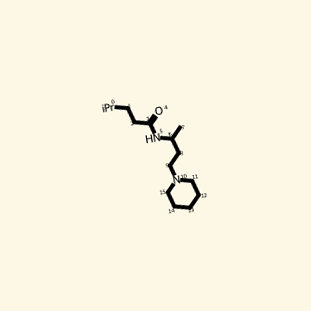 CC(C)CCC(=O)NC(C)CCN1CCCCC1